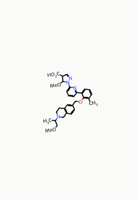 COCC(C)N1CCc2cc(COc3c(C)cccc3-c3cccc(N4N=CC(C(=O)O)C4OC)n3)ccc2C1